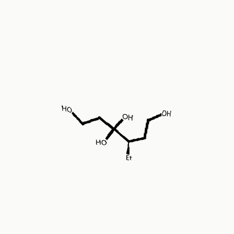 CC[C@H](CCO)C(O)(O)CCO